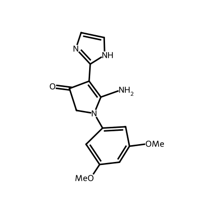 COc1cc(OC)cc(N2CC(=O)C(c3ncc[nH]3)=C2N)c1